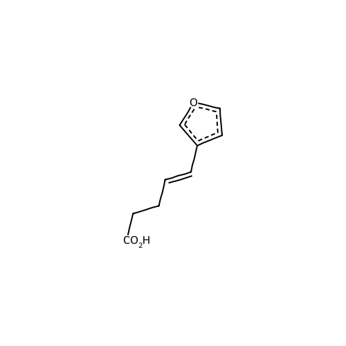 O=C(O)CC/C=C/c1ccoc1